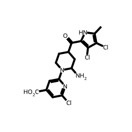 Cc1[nH]c(C(=O)C2CCN(c3cc(C(=O)O)cc(Cl)n3)C(N)C2)c(Cl)c1Cl